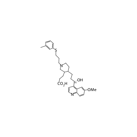 COc1ccc2nccc([C@@H](O)CCC3CCN(CCCSc4cccc(C)c4)CC3CCC(=O)O)c2c1